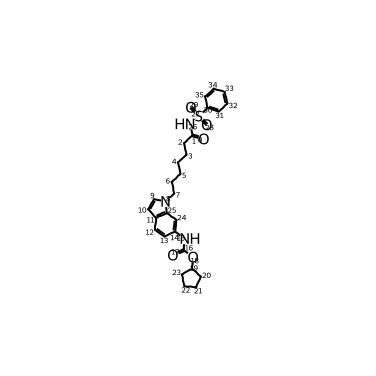 O=C(CCCCCCn1ccc2ccc(NC(=O)OC3CCCC3)cc21)NS(=O)(=O)c1ccccc1